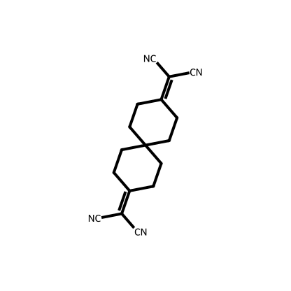 N#CC(C#N)=C1CCC2(CC1)CCC(=C(C#N)C#N)CC2